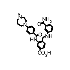 CN1CCCN(c2ccc(C(=O)Nc3cc(C(=O)O)ccc3CNc3cccc(C(N)=O)c3)cc2)CC1